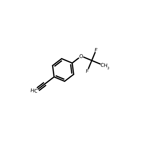 C#Cc1ccc(OC(C)(F)F)cc1